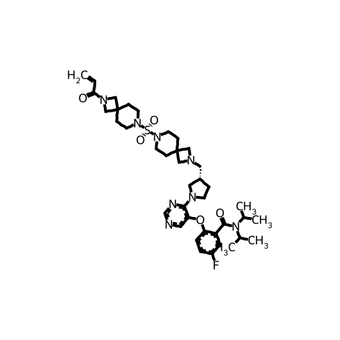 C=CC(=O)N1CC2(CCN(S(=O)(=O)N3CCC4(CC3)CN(C[C@@H]3CCN(c5ncncc5Oc5ccc(F)cc5C(=O)N(C(C)C)C(C)C)C3)C4)CC2)C1